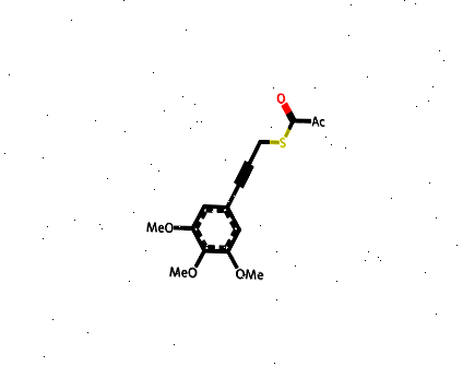 COc1cc(C#CCSC(=O)C(C)=O)cc(OC)c1OC